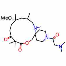 CO[C@@]1(C)CCC(=O)C(C)(C)C(=O)OCC2(CCN(C(=O)CN(C)C)CC2)N(C)CC(C)C1